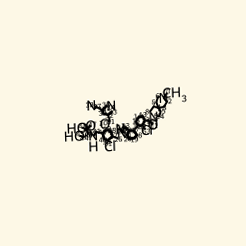 CN1CCC2(CC1)CCN(C(=O)c1cccc(-c3cccc4c3cnn4Cc3cc(OCc4cncc(C#N)c4)c(CN[C@@H](CO)C(=O)O)cc3Cl)c1Cl)CC2